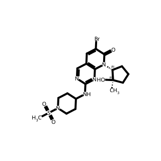 C[C@@]1(O)CCC[C@H]1n1c(=O)c(Br)cc2cnc(NC3CCN(S(C)(=O)=O)CC3)nc21